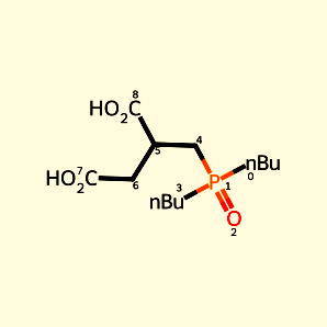 CCCCP(=O)(CCCC)CC(CC(=O)O)C(=O)O